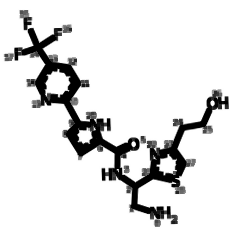 NCC(NC(=O)c1ccc(-c2ccc(C(F)(F)F)cn2)[nH]1)c1nc(CCO)cs1